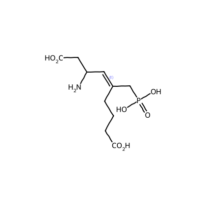 NC(/C=C(\CCCC(=O)O)CP(=O)(O)O)CC(=O)O